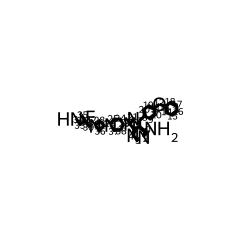 Nc1ncnc2c1c(-c1ccc(Oc3ccccc3)cc1)nn2C1CCN(C2CN(CC3(F)CNC3)C2)CC1